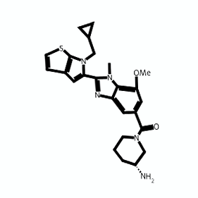 COc1cc(C(=O)N2CCC[C@@H](N)C2)cc2nc(-c3cc4ccsc4n3CC3CC3)n(C)c12